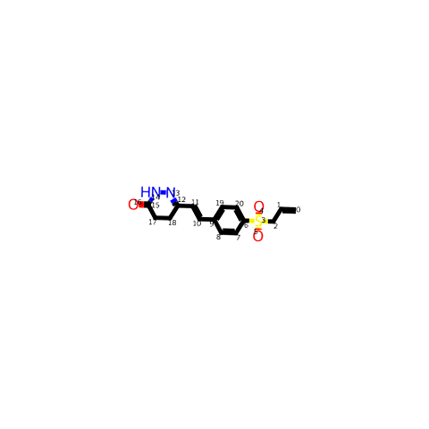 C=CCS(=O)(=O)c1ccc(C=CC2=NNC(=O)CC2)cc1